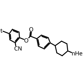 CCCCCCC1CCC(c2ccc(C(=O)Oc3ccc(CC)cc3C#N)cc2)CC1